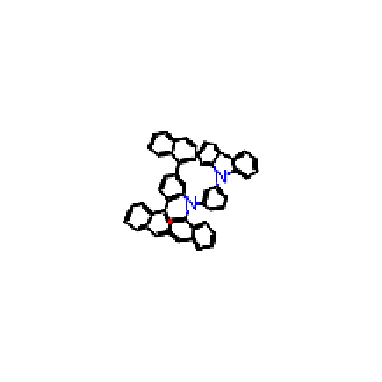 c1cc(N(c2cc(-c3cccc4ccccc34)ccc2-c2cccc3ccccc23)c2cccc3ccccc23)cc(-n2c3ccccc3c3ccccc32)c1